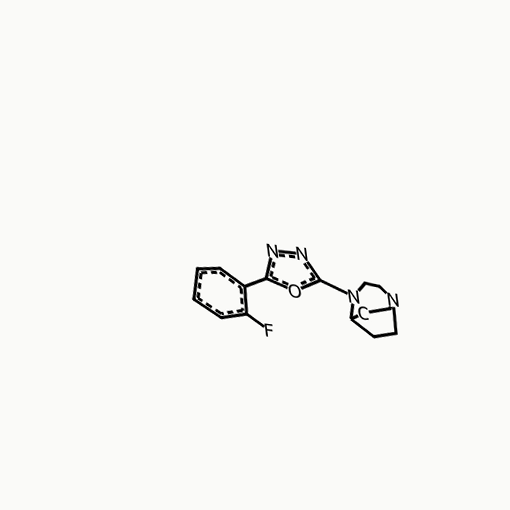 Fc1ccccc1-c1nnc(N2CCN3CCC2CC3)o1